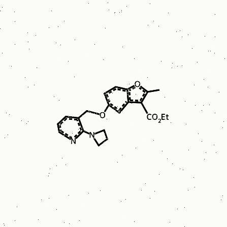 CCOC(=O)c1c(C)oc2ccc(OCc3cccnc3N3CCC3)cc12